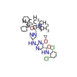 CN(C)CC(Cn1cc(Nc2ncc(C(=O)Nc3c(Cl)cccc3Cl)c(OC3CC3)n2)cn1)O[Si](c1ccccc1)(c1ccccc1)C(C)(C)C